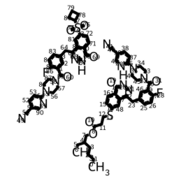 CCCCC(CC)COC(=O)CCSc1ccc2c(=O)[nH]nc(Cc3ccc(F)c(C(=O)N4CCN(c5ccc(C#N)cn5)CC4)c3)c2c1.N#Cc1ccc(N2CCN(C(=O)c3cc(Cc4n[nH]c(=O)c5ccc(S(=O)(=O)C6CCC6)cc45)ccc3F)CC2)nc1